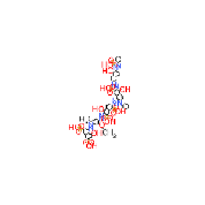 CCCOc1cc(N=Nc2cc(S(=O)(=O)O)cc3cc(S(=O)(=O)O)cc(O)c23)c(C)cc1N=Nc1c(S(=O)(=O)O)cc2c(S(=O)(=O)O)c(N=Nc3c(Nc4ccccc4)ccc4c(O)c(N=Nc5ccc6c(O)c(N=Nc7ccccc7S(=O)(=O)O)ccc6c5)c(S(=O)(=O)O)cc34)ccc2c1O